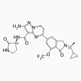 C[C@@H](C1CC1)N1Cc2cc(-c3ccn4nc(N)c(C(=O)N[C@H]5CCNC5=O)c4n3)cc(OC(F)(F)F)c2C1=O